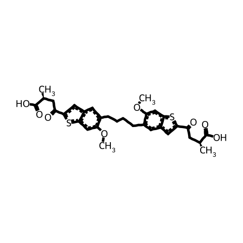 COc1cc2sc(C(=O)C[C@H](C)C(=O)O)cc2cc1CCCCc1cc2cc(C(=O)C[C@H](C)C(=O)O)sc2cc1OC